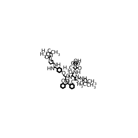 Cc1sc(NC(=O)OC(C)(C)C)nc1/C(=N/OC(COc1ccc(C(=N)NC2CCN(C(=O)OC(C)(C)C)C2)cc1)C(=O)OC(c1ccccc1)c1ccccc1)C(=O)N[C@@H]1C(=O)N(S(=O)(=O)O)[C@H]1C